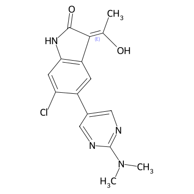 C/C(O)=C1\C(=O)Nc2cc(Cl)c(-c3cnc(N(C)C)nc3)cc21